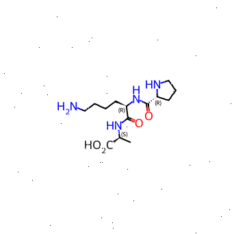 C[C@H](NC(=O)[C@@H](CCCCN)NC(=O)[C@H]1CCCN1)C(=O)O